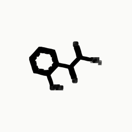 COc1ccccc1C(=O)C(N)=O